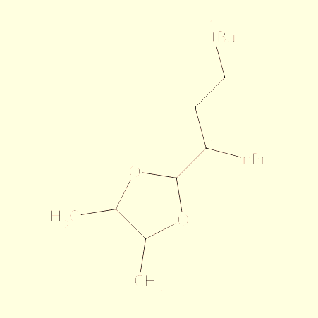 CCCC(CCC(C)(C)C)C1OC(C)C(C)O1